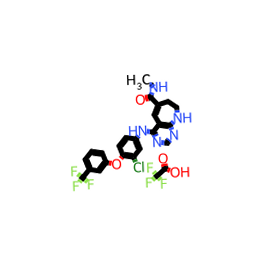 CNC(=O)C1=Cc2c(ncnc2Nc2ccc(Oc3cccc(C(F)(F)F)c3)c(Cl)c2)NCC1.O=C(O)C(F)(F)F